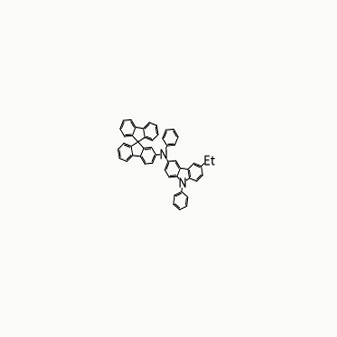 CCc1ccc2c(c1)c1cc(N(c3ccccc3)c3ccc4c(c3)C3(c5ccccc5-c5ccccc53)c3ccccc3-4)ccc1n2-c1ccccc1